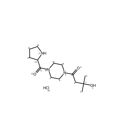 CC(C)(O)CC(=O)N1CCN(C(=O)C2CCCN2)CC1.Cl